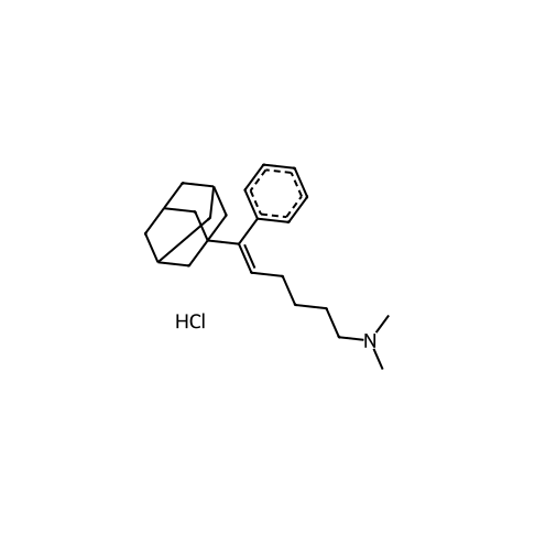 CN(C)CCCCC=C(c1ccccc1)C12CC3CC(CC(C3)C1)C2.Cl